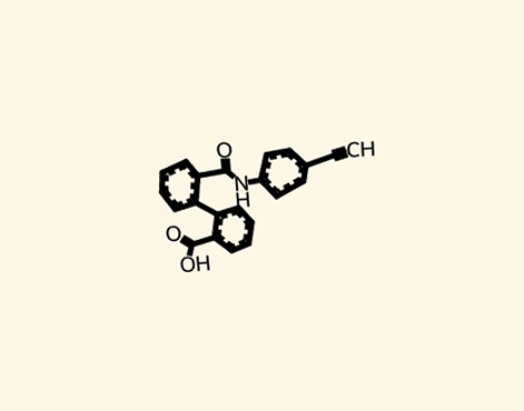 C#Cc1ccc(NC(=O)c2ccccc2-c2ccccc2C(=O)O)cc1